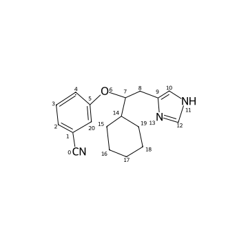 N#Cc1cc[c]c(OC(Cc2c[nH]cn2)C2CCCCC2)c1